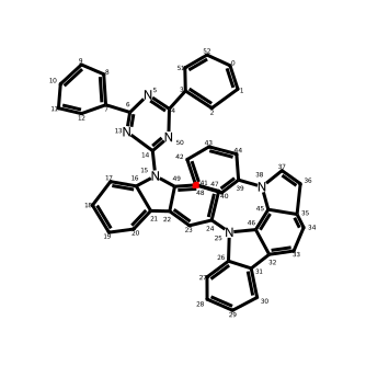 c1ccc(-c2nc(-c3ccccc3)nc(-n3c4ccccc4c4cc(-n5c6ccccc6c6ccc7ccn(-c8ccccc8)c7c65)ccc43)n2)cc1